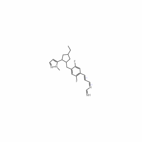 CCC1CC(Cc2cc(F)c(/C=C/C=N\C=N)cc2F)C(c2ccnn2C)C1